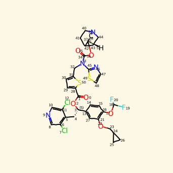 O=C(O[C@@H](Cc1c(Cl)cncc1Cl)c1ccc(OC(F)F)c(OCC2CC2)c1)c1ccc(CN(C(=O)O[C@H]2CN3CCC2CC3)c2nccs2)s1